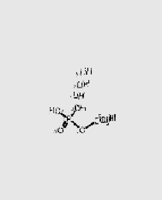 O=C(O)OP(=O)(O)O.[LiH].[LiH].[LiH].[LiH]